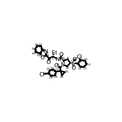 CC[C@H](NC(=O)[C@@H]1C[C@@H](S(=O)(=O)c2ccccc2Cl)CN1C(=O)C1(c2ccc(Cl)cc2)CC1)C(=O)c1nc2ccccc2o1